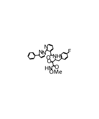 CONC(=O)C(=O)C(Cc1ccc(F)cc1)NC(=O)c1cccnc1-n1ccc(-c2ccccc2)n1